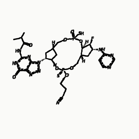 CC(C)C(=O)Nc1nc2c(nnn2[C@@H]2C[C@@H]3COP(=O)(S)O[C@@H]4[C@@H](COP(=S)(OCCC#N)O[C@@H]2C3)C[C@@H](Nc2ccncn2)[C@@H]4F)c(=O)[nH]1